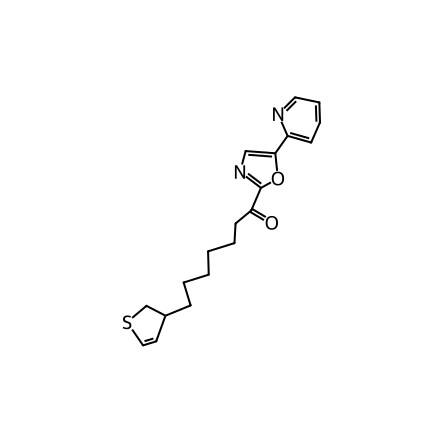 O=C(CCCCCCC1C=CSC1)c1ncc(-c2ccccn2)o1